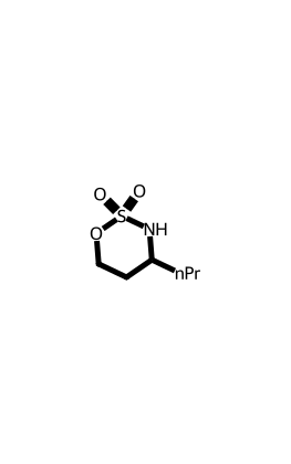 CCCC1CCOS(=O)(=O)N1